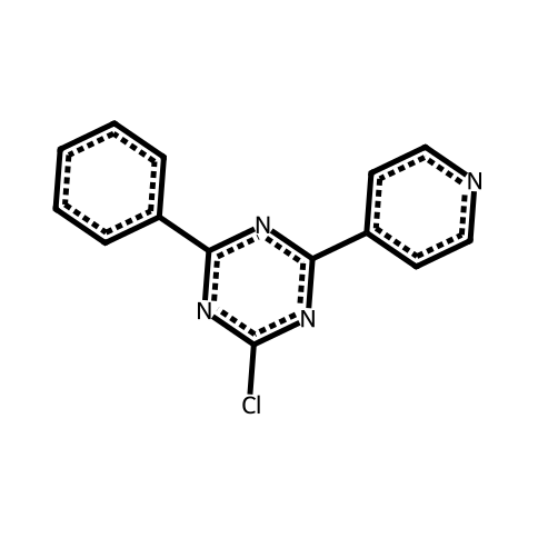 Clc1nc(-c2ccccc2)nc(-c2ccncc2)n1